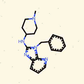 CN1CCC(Nc2nc3cccnc3n2Cc2ccccc2)CC1